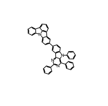 c1ccc(-c2nc(-c3ccccc3)c3c(n2)c2cc(-c4ccc5c(c4)c4cccc6c7ccccc7n5c64)ccc2n3-c2ccccc2)cc1